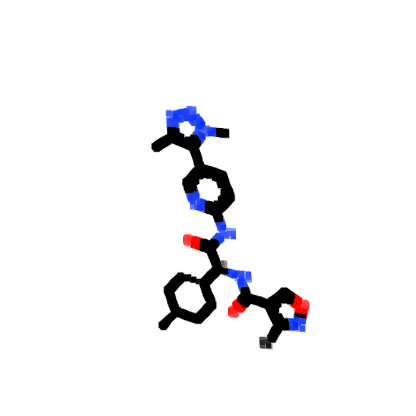 CCc1nocc1C(=O)N[C@H](C(=O)Nc1ccc(-c2c(C)nnn2C)cn1)[C@H]1CC[C@H](C)CC1